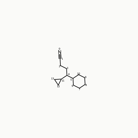 N#CCCC(C1CCCCC1)C1CC1